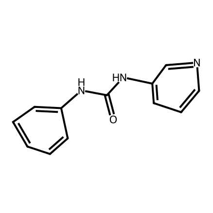 O=C(Nc1ccccc1)Nc1cccnc1